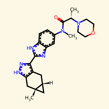 C[C@@H](C(=O)N(C)c1ccc2[nH]c(-c3n[nH]c4c3C[C@@H]3C[C@]3(C)C4)nc2c1)N1CCOCC1